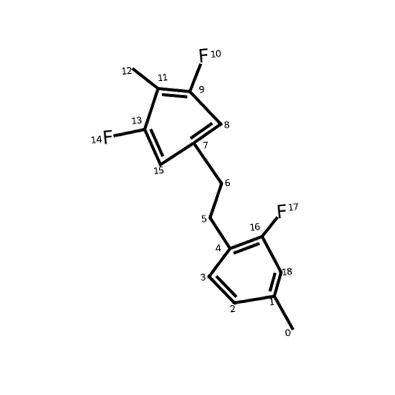 Cc1ccc(CCc2cc(F)c(C)c(F)c2)c(F)c1